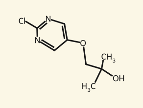 CC(C)(O)COc1cnc(Cl)nc1